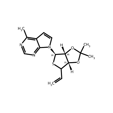 C=CC1S[C@@H](n2ccc3c(C)ncnc32)[C@@H]2OC(C)(C)O[C@H]12